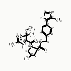 CSC(C)(C)C(NC(C)=O)C(=O)N1CC(O)CC1C(=O)NCc1ccc(-c2scnc2C)cc1